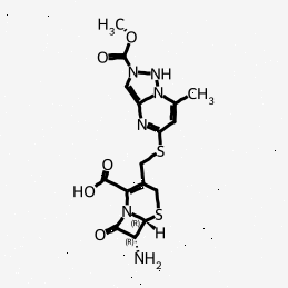 COC(=O)N1C=C2N=C(SCC3=C(C(=O)O)N4C(=O)[C@@H](N)[C@H]4SC3)C=C(C)N2N1